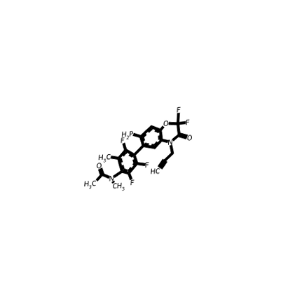 C#CCN1C(=O)C(F)(F)Oc2cc(P)c(-c3c(F)c(C)c(N(C)C(C)=O)c(F)c3F)cc21